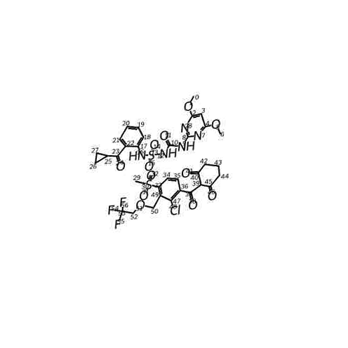 COc1cc(OC)nc(NC(=O)NS(=O)(=O)Nc2ccccc2C(=O)C2CC2)n1.CS(=O)(=O)c1ccc(C(=O)C2C(=O)CCCC2=O)c(Cl)c1COCC(F)(F)F